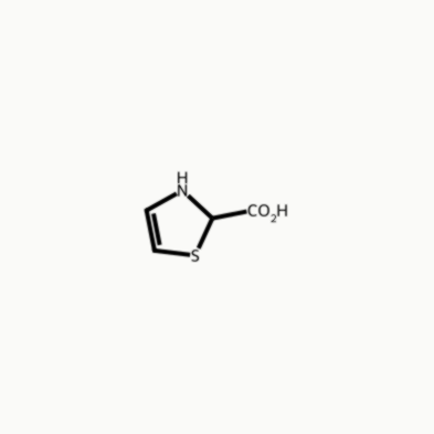 O=C(O)C1NC=CS1